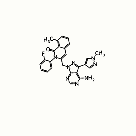 Cc1cccc2cc(Cn3nc(-c4cnn(C)c4)c4c(N)ncnc43)n(-c3ccccc3F)c(=O)c12